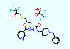 O=C(N[C@@H](CCCSCC(=O)C(F)(F)F)C(=O)NC1CCN(Cc2ccccc2)CC1)c1cccnc1.O=C(O)C(F)(F)F